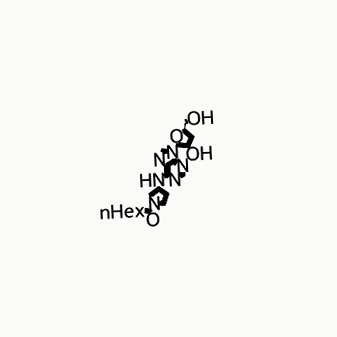 CCCCCCC(=O)N1CC[C@@H](Nc2ncnc3c2ncn3[C@@H]2O[C@H](CO)C[C@H]2O)C1